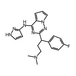 CN(C)CCC(c1ccc(F)cc1)c1nc(Nc2cc[nH]n2)c2cccn2n1